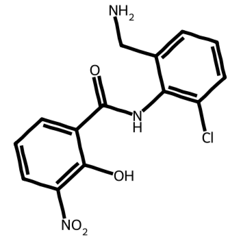 NCc1cccc(Cl)c1NC(=O)c1cccc([N+](=O)[O-])c1O